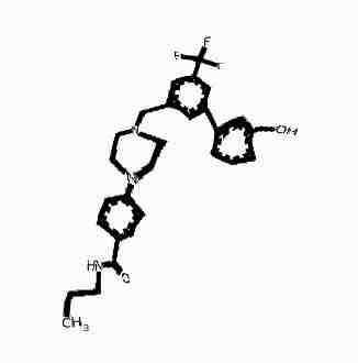 CCCNC(=O)c1ccc(N2CCN(Cc3cc(-c4cccc(O)c4)cc(C(F)(F)F)c3)CC2)cc1